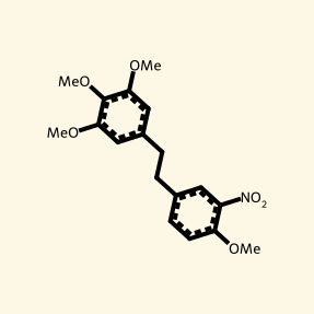 COc1ccc(CCc2cc(OC)c(OC)c(OC)c2)cc1[N+](=O)[O-]